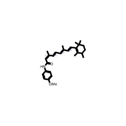 COc1ccc(NC(=O)\C=C(C)/C=C/C=C(C)/C=C/C2=C(C)C(C)CCC2(C)C)cc1